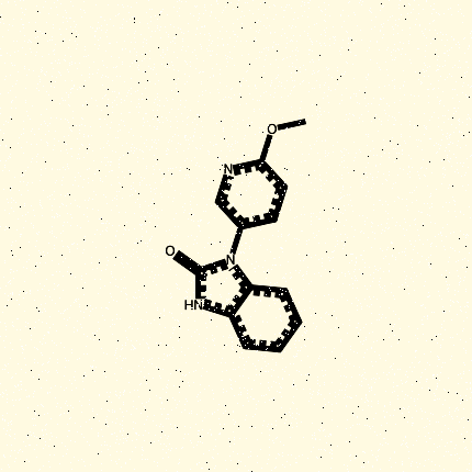 COc1ccc(-n2c(=O)[nH]c3ccccc32)cn1